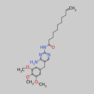 C=CCCCCCCCCC(=O)Nc1ncc(Cc2cc(OC)c(OC)c(OC)c2)c(N)n1